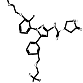 COCCOc1cccc(-n2nc(NC(=O)[C@@H]3CNC(=O)C3)cc2-c2cccc(COCC(F)(F)F)c2)c1F